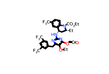 CCOC(=O)N1c2ccc(C(F)(F)F)cc2[C@@H](Nc2nc(Cc3cc(C(F)(F)F)cc(C(F)(F)F)c3)c(OCC)c(OC=C=O)n2)C[C@H]1CC